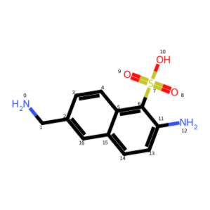 NCc1ccc2c(S(=O)(=O)O)c(N)ccc2c1